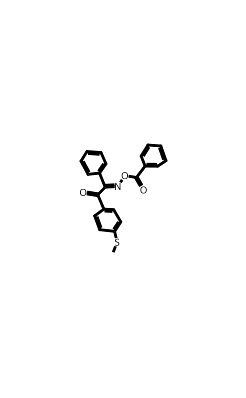 CSc1ccc(C(=O)C(=NOC(=O)c2ccccc2)c2ccccc2)cc1